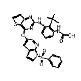 CC(C)(C)c1c(NC(=O)O)cccc1Nc1nc(Oc2cnc3c(ccn3S(=O)(=O)c3ccccc3)c2)c2sccc2n1